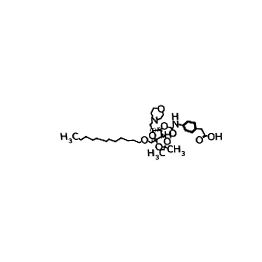 CCCCCCCCCCCCOC[C@@]12O[C@@H](CN3CCOCC3)[C@@H](OC(=O)Nc3ccc(CC(=O)O)cc3)[C@@H]1OC(C)(C)O2